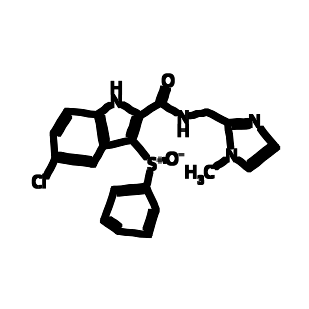 Cn1ccnc1CNC(=O)c1[nH]c2ccc(Cl)cc2c1[S+]([O-])c1ccccc1